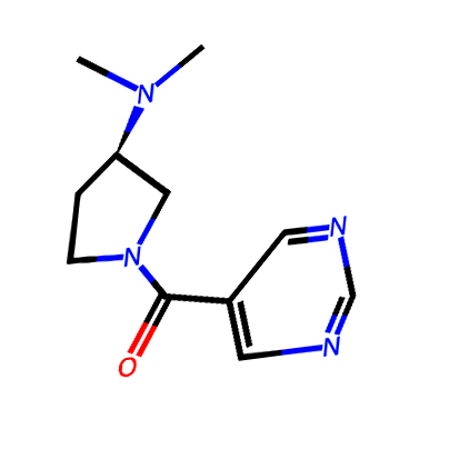 CN(C)[C@@H]1CCN(C(=O)c2cncnc2)C1